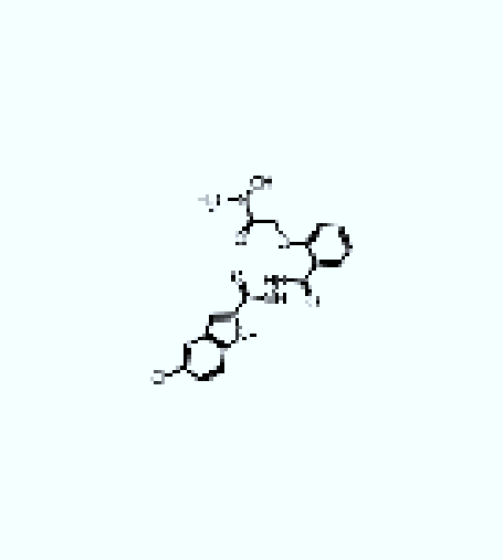 CN(C)C(=O)COc1ccccc1C(=O)NNC(=O)c1cc2cc(Cl)ccc2[nH]1